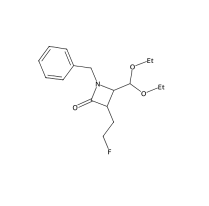 CCOC(OCC)C1C(CCF)C(=O)N1Cc1ccccc1